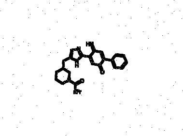 CCCC(=O)N1CCCC(Cc2cnc(C3=CC(=O)C(c4ccccc4)=CC3=N)[nH]2)C1